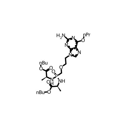 CCCCOC(=O)[C@H](C)NP(=O)(COCCn1cnc2c(OCCC)nc(N)nc21)N[C@@H](C)C(=O)OCCCC